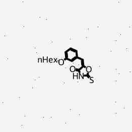 CCCCCCOc1cccc(C=C2OC(=S)NC2=O)c1